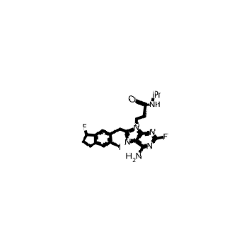 CC(C)NC(=O)CCn1c(Cc2cc3c(cc2I)CCC3F)nc2c(N)nc(F)nc21